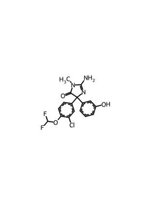 CN1C(=O)C(c2cccc(O)c2)(c2ccc(OC(F)F)c(Cl)c2)N=C1N